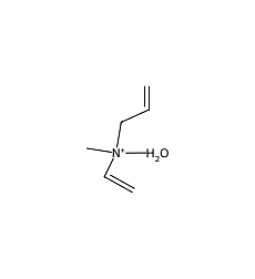 C=CC[N+](C)(C)C=C.O